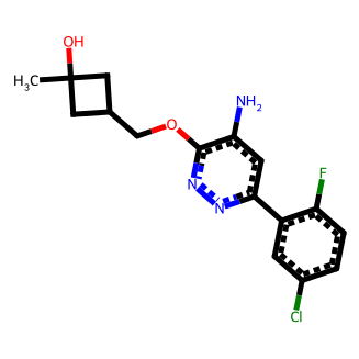 CC1(O)CC(COc2nnc(-c3cc(Cl)ccc3F)cc2N)C1